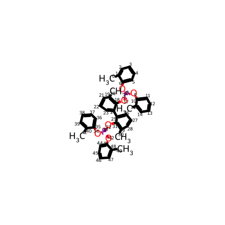 Cc1ccccc1OP(Oc1ccccc1C)Oc1c(C)cccc1-c1cccc(C)c1OP(Oc1ccccc1C)Oc1ccccc1C